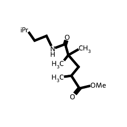 COC(=O)C(C)CC(C)(C)C(=O)NCCC(C)C